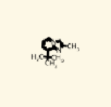 Cc1cn2cccc(C(C)(C)C)c2n1